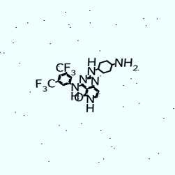 NC1CCC(Nc2nc(Nc3cc(C(F)(F)F)cc(C(F)(F)F)c3)c3c(=O)[nH]ccc3n2)CC1